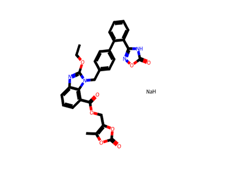 CCOc1nc2cccc(C(=O)OCc3oc(=O)oc3C)c2n1Cc1ccc(-c2ccccc2-c2noc(=O)[nH]2)cc1.[NaH]